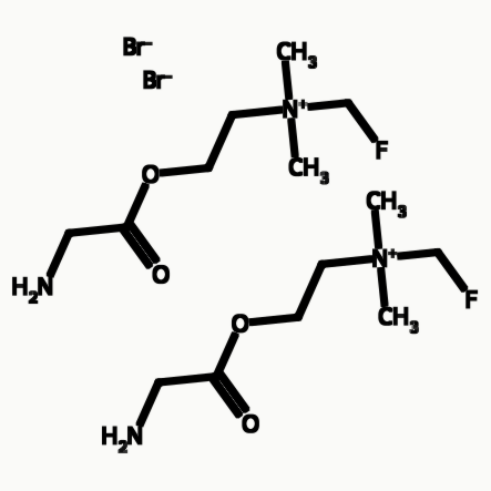 C[N+](C)(CF)CCOC(=O)CN.C[N+](C)(CF)CCOC(=O)CN.[Br-].[Br-]